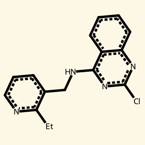 CCc1ncccc1CNc1nc(Cl)nc2ccccc12